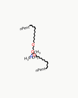 CCCCC/C=C\C/C=C\CCCCCCCCOCCCOC(C)(CN(C)C)OCCCCCCCC/C=C\C/C=C\CCCCC